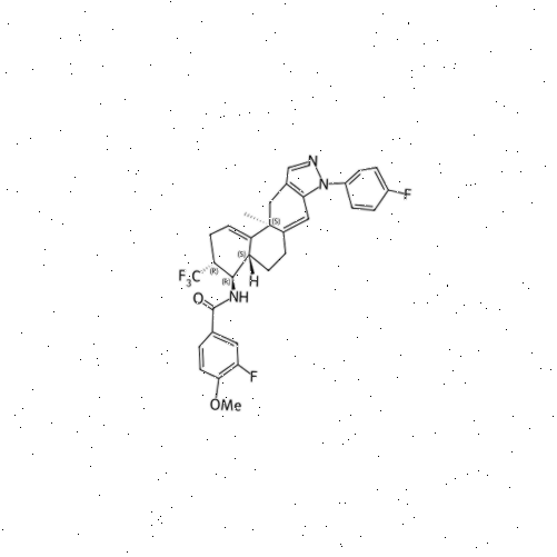 COc1ccc(C(=O)N[C@H]2[C@H](C(F)(F)F)CC=C3[C@@H]2CCC2=Cc4c(cnn4-c4ccc(F)cc4)C[C@@]23C)cc1F